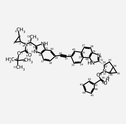 CC1CC1N(C(=O)OC(C)(C)C)[C@@H](C)c1nc2ccc(C#Cc3ccc4c(ccc5nc([C@@H]6CC7C[C@H]7N6OC(=O)c6ccccc6)[nH]c54)c3)cc2[nH]1